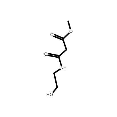 COC(=O)CC(=O)NCCO